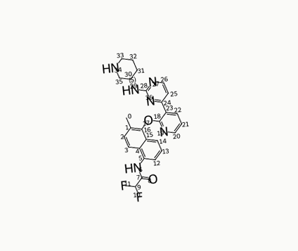 Cc1ccc2c(NC(=O)C(F)F)cccc2c1Oc1ncccc1-c1ccnc(N[C@H]2CCCNC2)n1